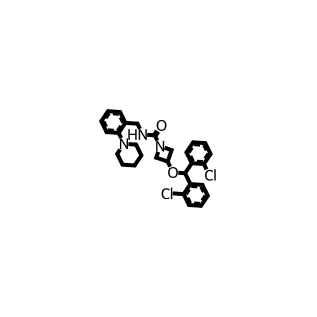 O=C(NCc1ccccc1N1CCCCC1)N1CC(OC(c2ccccc2Cl)c2ccccc2Cl)C1